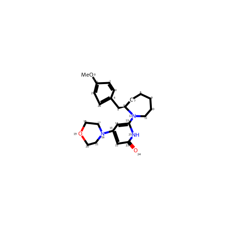 COc1ccc(C[C@H]2CCCCCN2c2cc(N3CCOCC3)cc(=O)[nH]2)cc1